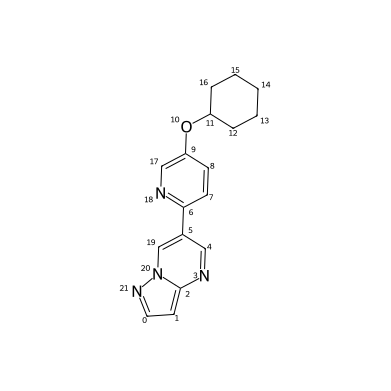 c1cc2ncc(-c3ccc(OC4CCCCC4)cn3)cn2n1